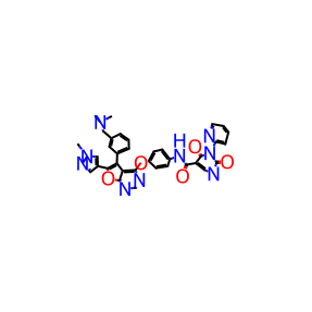 CN(C)Cc1cccc(-c2c(-c3cnn(C)c3)oc3ncnc(Oc4ccc(NC(=O)c5cn(C)c(=O)n(-c6ccccn6)c5=O)cc4)c23)c1